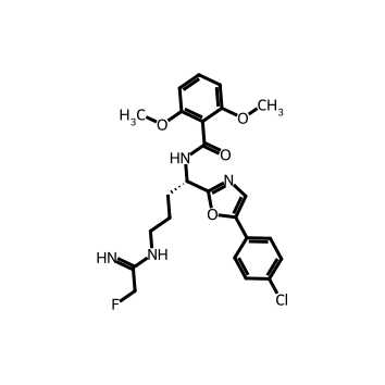 COc1cccc(OC)c1C(=O)N[C@@H](CCCNC(=N)CF)c1ncc(-c2ccc(Cl)cc2)o1